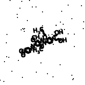 CCCCOc1cc(N(CCO)CCO)ccc1N=Nc1cc(OC)c(N=Nc2ccc([N+](=O)[O-])cc2)cc1OC